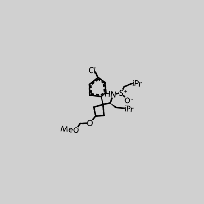 COCOC1CC(c2ccc(Cl)cc2)([C@H](CC(C)C)N[S+]([O-])CC(C)C)C1